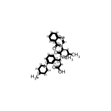 CC(C)C[C@@H](C(=O)N[C@@H](CC(=O)O)c1cccc(N2CCC(C)CC2)c1)n1cnc2ccccc2c1=O